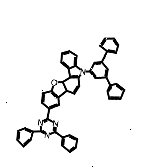 C1=CC2c3cc(-c4nc(-c5ccccc5)nc(-c5ccccc5)n4)ccc3OC2c2c1n(-c1cc(-c3ccccc3)cc(-c3ccccc3)c1)c1ccccc21